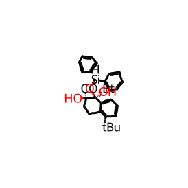 CCOC(=O)[C@@]1(O)CCc2c(C(C)(C)C)cccc2[C@]1(O)O[SiH](c1ccccc1)c1ccccc1